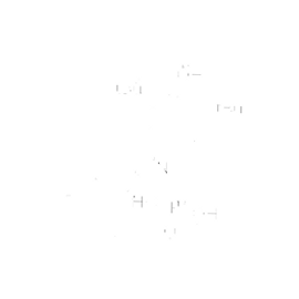 CC(C)(C)c1cc(N(CCc2ccccc2)CP(=O)(O)O)cc(C(C)(C)C)c1O